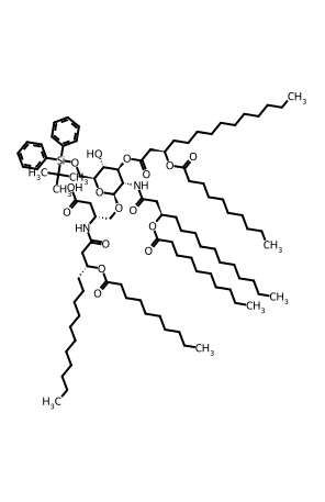 CCCCCCCCCCC[C@H](CC(=O)N[C@@H](CO[C@H]1O[C@@H](CO[Si](c2ccccc2)(c2ccccc2)C(C)(C)C)[C@H](O)[C@@H](OC(=O)C[C@@H](CCCCCCCCCCC)OC(=O)CCCCCCCCC)[C@@H]1NC(=O)C[C@@H](CCCCCCCCCCC)OC(=O)CCCCCCCCC)CC(=O)O)OC(=O)CCCCCCCCC